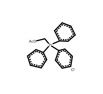 CC(=O)OC[P+](c1ccccc1)(c1ccccc1)c1ccccc1.[Cl-]